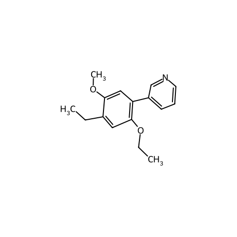 CCOc1cc(CC)c(OC)cc1-c1cccnc1